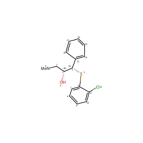 CNC[C@@H](O)[C@@H](Sc1ccccc1Cl)c1ccccc1